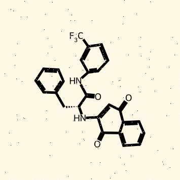 O=C1C=C(N[C@H](Cc2ccccc2)C(=O)Nc2cccc(C(F)(F)F)c2)C(=O)c2ccccc21